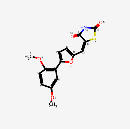 COc1ccc(OC)c(-c2ccc(/C=C3/SC(=O)NC3=O)o2)c1